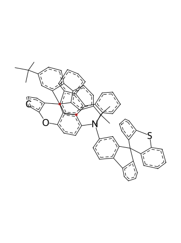 CC(C)(C)c1ccc2c(c1)C1(c3ccccc3Oc3ccc(N(c4ccc5c(c4)C4(c6ccccc6Sc6ccccc64)c4ccccc4-5)c4ccccc4-c4cccc5ccccc45)cc31)c1cc(C(C)(C)C)ccc1-2